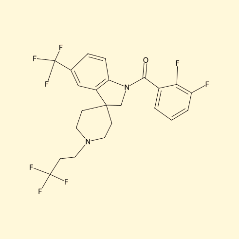 O=C(c1cccc(F)c1F)N1CC2(CCN(CCC(F)(F)F)CC2)c2cc(C(F)(F)F)ccc21